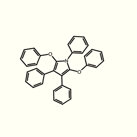 c1ccc(Oc2c(-c3ccccc3)c(-c3ccccc3)c(Oc3ccccc3)n2-c2ccccc2)cc1